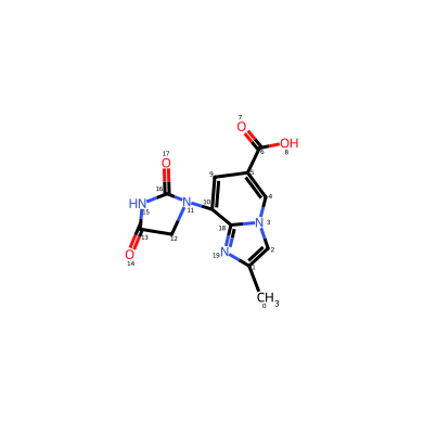 Cc1cn2cc(C(=O)O)cc(N3CC(=O)NC3=O)c2n1